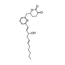 CCCCCC=CCC(O)C=Cc1cccc(CC2CCC(=O)C(=O)O2)n1